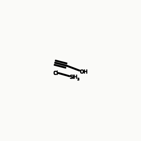 C#CO.[SiH3]Cl